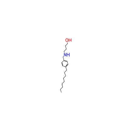 CCCCCCCCCc1ccc(CNCCCCO)cc1